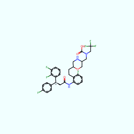 O=C(C[C@@H](c1ccc(F)cc1)c1cccc(F)c1F)Nc1cccc(F)c1CCC1CNC(CN(CC(F)(F)F)C(=O)O)CO1